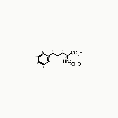 O=CNC(CCCc1ccccc1)C(=O)O